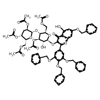 CC(=O)OC[C@H]1O[C@@H](Oc2c(-c3cc(OCc4ccccc4)c(OCc4ccccc4)c(OCc4ccccc4)c3)oc3cc(OCc4ccccc4)cc(O)c3c2=O)[C@H](O)[C@@H](OC(C)=O)[C@@H]1O[C@@H]1O[C@H](COC(C)=O)[C@H](OC(C)=O)C[C@H]1OC(C)=O